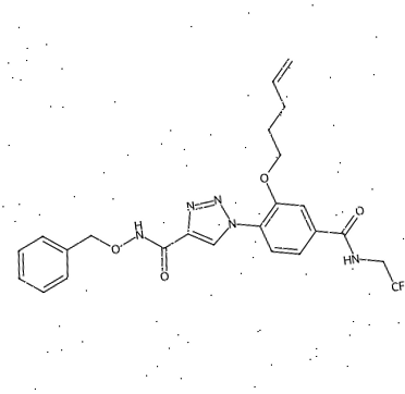 C=CCCCOc1cc(C(=O)NCC(F)(F)F)ccc1-n1cc(C(=O)NOCc2ccccc2)nn1